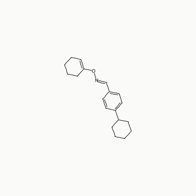 [C](=NOC1=CCCCC1)c1ccc(C2CCCCC2)cc1